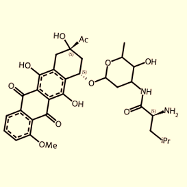 COc1cccc2c1C(=O)c1c(O)c3c(c(O)c1C2=O)C[C@@](O)(C(C)=O)C[C@@H]3OC1CC(NC(=O)[C@@H](N)CC(C)C)C(O)C(C)O1